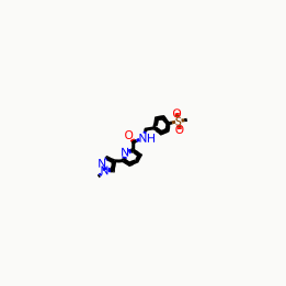 Cn1cc(-c2cccc(C(=O)NCc3ccc(S(C)(=O)=O)cc3)n2)cn1